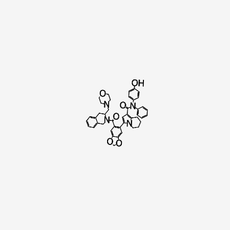 O=C(c1cc(-c2cc3c(cc2C(=O)N2Cc4ccccc4CC2CN2CCOCC2)OCO3)n2c1CCCC2)N(c1ccccc1)c1ccc(O)cc1